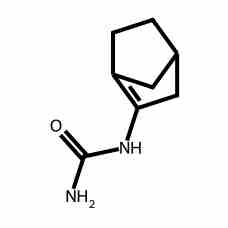 NC(=O)NC1=C2CCC(C2)C1